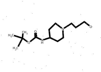 CC(C)(C)OC(=O)NC1CCN(CCC[O])CC1